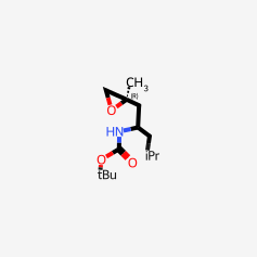 CC(C)CC(C[C@]1(C)CO1)NC(=O)OC(C)(C)C